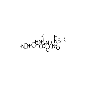 CC(C)CCC(N)C(=O)N1CC(=O)C2C1CCN2C(=O)C(CC(C)C)NC(=O)c1ccc(N2CCN(C)CC2)cc1